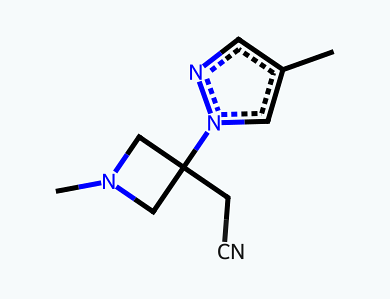 Cc1cnn(C2(CC#N)CN(C)C2)c1